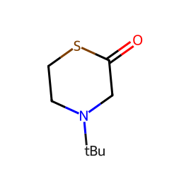 CC(C)(C)N1CCSC(=O)C1